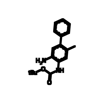 Cc1cc(NC(=O)OC(C)(C)C)c(N)cc1-c1ccccc1